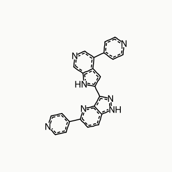 c1cc(-c2ccc3[nH]nc(-c4cc5c(-c6ccncc6)cncc5[nH]4)c3n2)ccn1